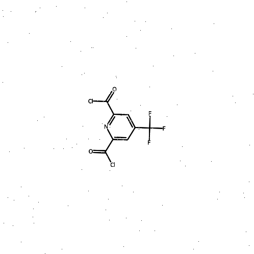 O=C(Cl)c1cc(C(F)(F)F)cc(C(=O)Cl)n1